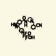 N#Cc1ccccc1CN1CCC[C@@H](NC(=O)c2ccc3[nH]nc(-c4ccncc4)c3c2)C1.O=C(O)C(F)(F)F